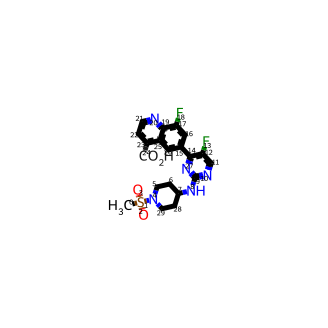 CS(=O)(=O)N1CCC(Nc2ncc(F)c(-c3cc(F)c4nccc(C(=O)O)c4c3)n2)CC1